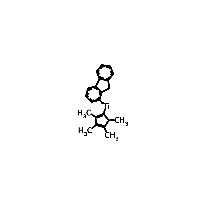 CC1=C(C)C(C)[C]([Ti][c]2cccc3c2Cc2ccccc2-3)=C1C